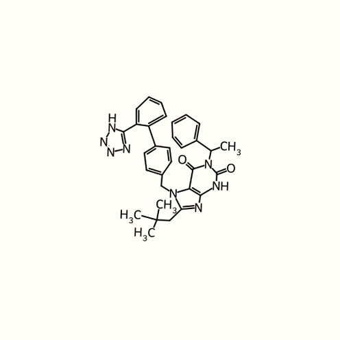 CC(c1ccccc1)n1c(=O)[nH]c2nc(CC(C)(C)C)n(Cc3ccc(-c4ccccc4-c4nnn[nH]4)cc3)c2c1=O